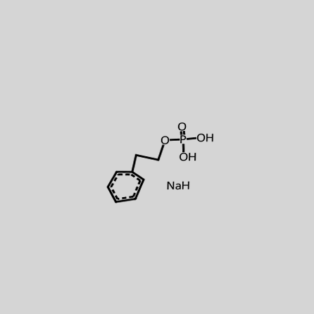 O=P(O)(O)OCCc1ccccc1.[NaH]